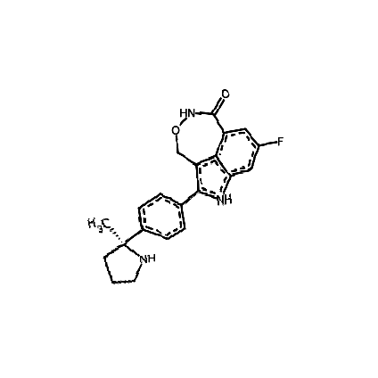 C[C@@]1(c2ccc(-c3[nH]c4cc(F)cc5c4c3CONC5=O)cc2)CCCN1